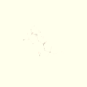 C[C@@H]1CN(C(=O)[C@@H](NC(=O)O)C(C)(C)CC(C)(C)C)[C@H]2[C@@H]1OC[C@@H]2O